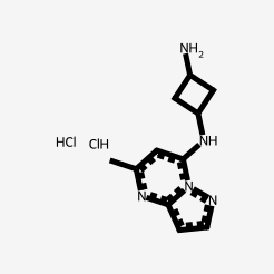 Cc1cc(NC2CC(N)C2)n2nccc2n1.Cl.Cl